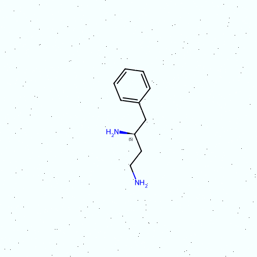 NCC[C@@H](N)Cc1ccccc1